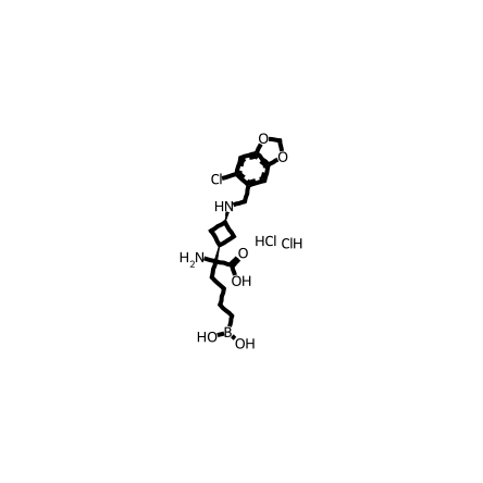 Cl.Cl.NC(CCCCB(O)O)(C(=O)O)[C@H]1C[C@@H](NCc2cc3c(cc2Cl)OCO3)C1